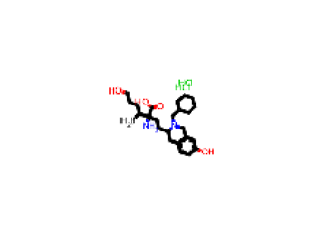 BC(CCCO)C(N)(CCC1Cc2ccc(O)cc2CN1CC1CCCCC1)C(=O)O.Cl.Cl